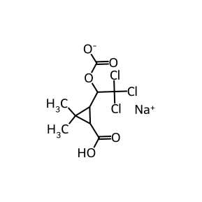 CC1(C)C(C(=O)O)C1C(OC(=O)[O-])C(Cl)(Cl)Cl.[Na+]